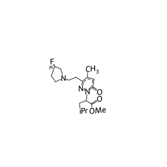 COC(=O)C(CC(C)C)n1nc(CCN2CC[C@@H](F)C2)c(C)cc1=O